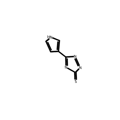 S=C1N=NC(c2cc[nH]c2)=N1